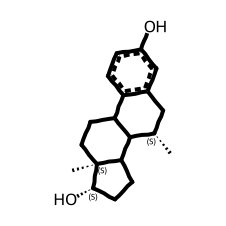 C[C@H]1Cc2cc(O)ccc2C2CC[C@@]3(C)C(CC[C@@H]3O)C21